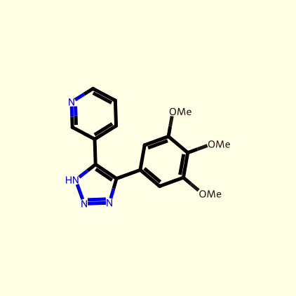 COc1cc(-c2nn[nH]c2-c2cccnc2)cc(OC)c1OC